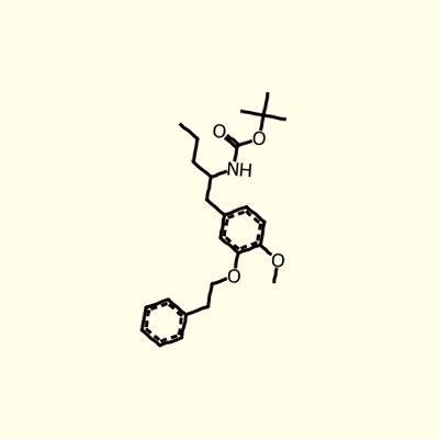 CCCC(Cc1ccc(OC)c(OCCc2ccccc2)c1)NC(=O)OC(C)(C)C